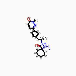 CCn1nc(-c2ccc(C[C@@H](C#N)NC(=O)C3(N)CCCCCC3)cc2)ccc1=O